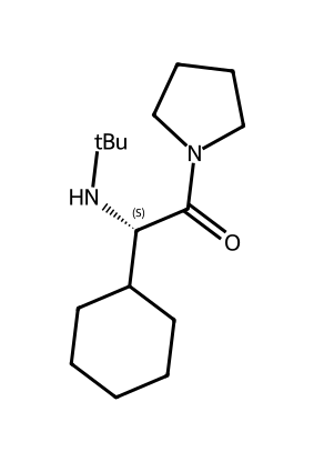 CC(C)(C)N[C@H](C(=O)N1CCCC1)C1CCCCC1